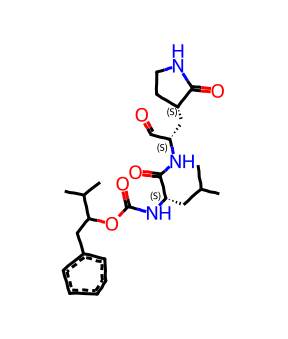 CC(C)C[C@H](NC(=O)OC(Cc1ccccc1)C(C)C)C(=O)N[C@H](C=O)C[C@@H]1CCNC1=O